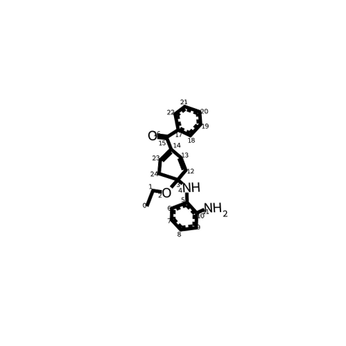 CCOC1(Nc2ccccc2N)C=CC(C(=O)c2ccccc2)=CC1